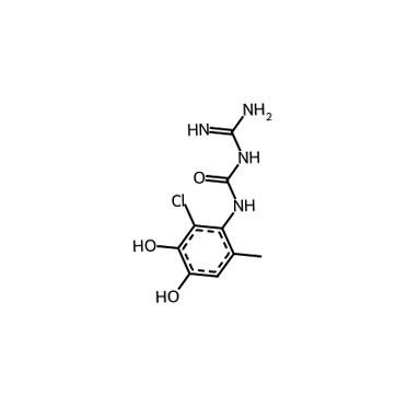 Cc1cc(O)c(O)c(Cl)c1NC(=O)NC(=N)N